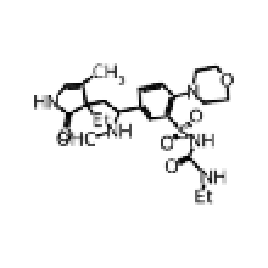 CCNC(=O)NS(=O)(=O)c1cc(C(CC2(CC)C(=O)NC=C2C)NC=O)ccc1N1CCOCC1